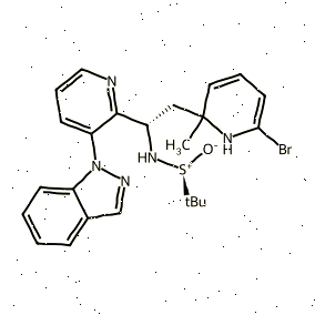 CC1(C[C@H](N[S@@+]([O-])C(C)(C)C)c2ncccc2-n2ncc3ccccc32)C=CC=C(Br)N1